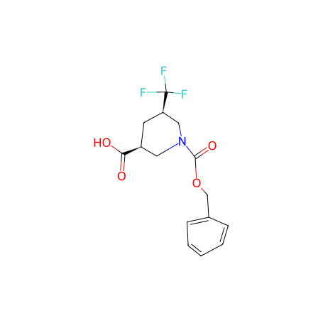 O=C(O)[C@H]1C[C@@H](C(F)(F)F)CN(C(=O)OCc2ccccc2)C1